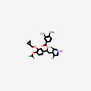 COc1ccc(C(=O)OC(Cc2c(Cl)c[n+]([O-])cc2Cl)c2ccc(OC(F)F)c(OCC3CC3)c2)cc1[N+](=O)[O-]